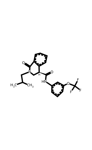 CC(C)CN1C[C@H](C(=O)Nc2cccc(OC(F)(F)F)c2)c2ccccc2C1=O